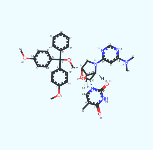 COc1ccc(C(OC[C@@]23CN(c4cc(N(C)C)ncn4)[C@@H]([C@H](n4cc(C)c(=O)[nH]c4=O)O2)[C@@H]3O)(c2ccccc2)c2ccc(OC)cc2)cc1